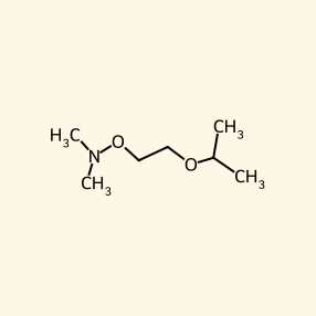 CC(C)OCCON(C)C